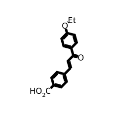 CCOc1ccc(C(=O)/C=C/c2ccc(C(=O)O)cc2)cc1